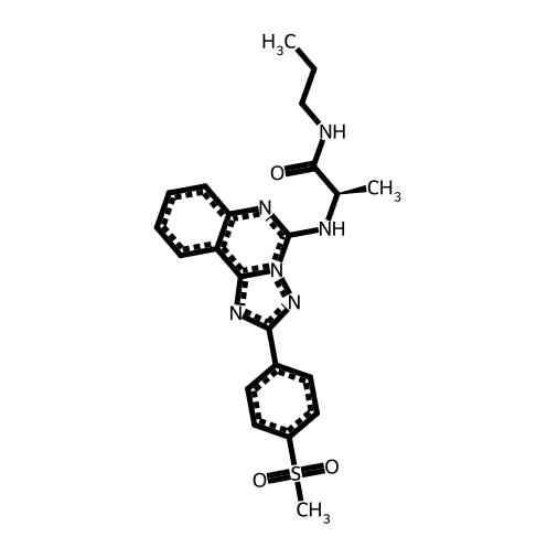 CCCNC(=O)[C@@H](C)Nc1nc2ccccc2c2nc(-c3ccc(S(C)(=O)=O)cc3)nn12